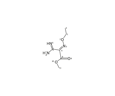 CCO/N=C(\C(=N)N)C(=O)OC